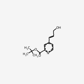 CC(C)(C)OC(=O)c1cc(C=CCO)ccn1